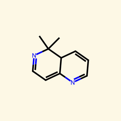 CC1(C)N=CC=C2N=CC=CC21